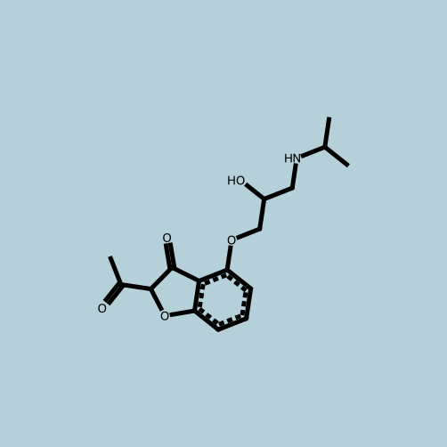 CC(=O)C1Oc2cccc(OCC(O)CNC(C)C)c2C1=O